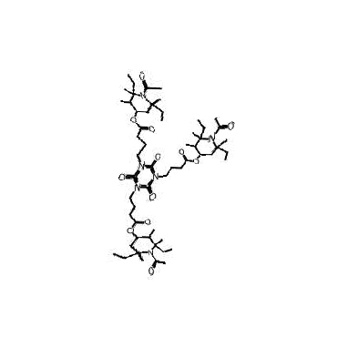 CCC1(C)CC(OC(=O)CCCn2c(=O)n(CCCC(=O)OC3CC(C)(CC)N(C(C)=O)C(C)(CC)C3C)c(=O)n(CCCC(=O)OC3CC(C)(CC)N(C(C)=O)C(C)(CC)C3C)c2=O)C(C)C(C)(CC)N1C(C)=O